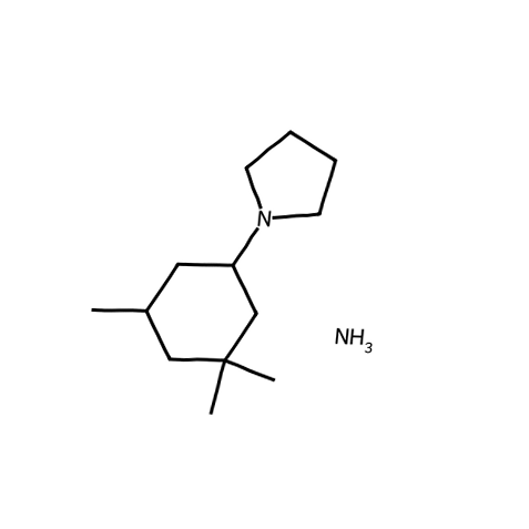 CC1CC(N2CCCC2)CC(C)(C)C1.N